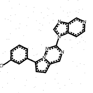 Clc1cccc(-c2ccc3cnc(-n4cnc5cnccc54)nn23)c1